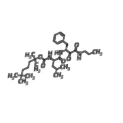 CCCNC(=O)C(=O)[C@H](Cc1ccccc1)NC(=O)C(CC(C)C)NC(=O)OC(C)(C)CCCC(C)(C)C